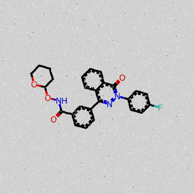 O=C(NOC1CCCCO1)c1cccc(-c2nn(-c3ccc(F)cc3)c(=O)c3ccccc23)c1